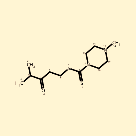 CC(C)C(=O)CCSC(=S)N1CCN(C)CC1